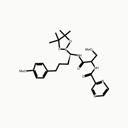 COCC(NC(=O)c1cnccn1)C(=O)N[C@@H](CCCc1ccc(OC)cc1)B1OC(C)(C)C(C)(C)O1